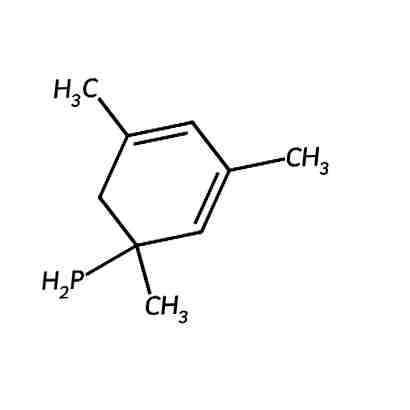 CC1=CC(C)(P)CC(C)=C1